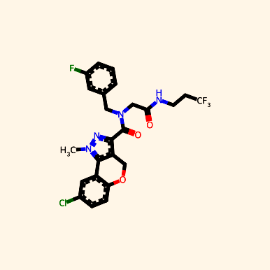 Cn1nc(C(=O)N(CC(=O)NCCC(F)(F)F)Cc2cccc(F)c2)c2c1-c1cc(Cl)ccc1OC2